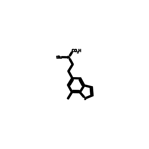 Cc1cc(CCN(C(=O)O)C(C)(C)C)cc2ccsc12